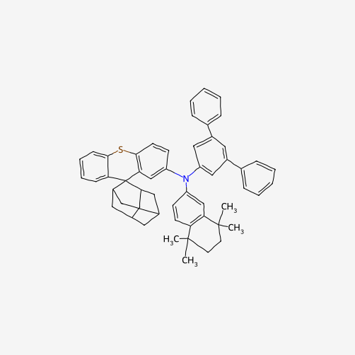 CC1(C)CCC(C)(C)c2cc(N(c3cc(-c4ccccc4)cc(-c4ccccc4)c3)c3ccc4c(c3)C3(c5ccccc5S4)C4CC5CC(C4)CC3C5)ccc21